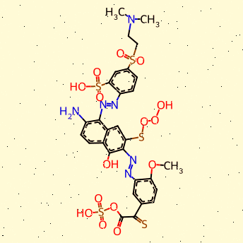 COc1ccc(C(=S)C(=O)OS(=O)(=O)O)cc1N=Nc1c(SOOO)cc2c(N=Nc3ccc(S(=O)(=O)CCN(C)C)cc3S(=O)(=O)O)c(N)ccc2c1O